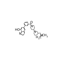 CN(C)CC1CCCN(C2CCN(C(=O)c3cccc(-c4cc(O)c5ncccc5c4)c3)CC2)C1